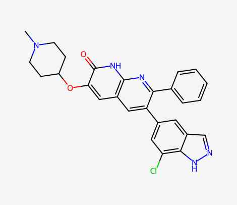 CN1CCC(Oc2cc3cc(-c4cc(Cl)c5[nH]ncc5c4)c(-c4ccccc4)nc3[nH]c2=O)CC1